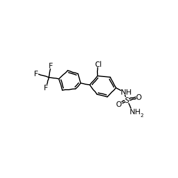 NS(=O)(=O)Nc1ccc(-c2ccc(C(F)(F)F)cc2)c(Cl)c1